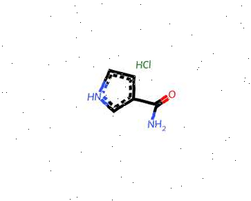 Cl.NC(=O)c1cc[nH]c1